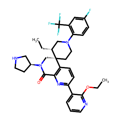 CCOc1ncccc1-c1ccc2c(n1)C(=O)N([C@H]1CCNC1)C[C@]21CCN(c2ccc(F)cc2C(F)(F)F)C[C@H]1CC